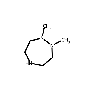 CN1CCNCCN1C